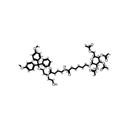 COc1ccc(C(OCCN(CCO)C(=O)CCCNC(=O)CCCCCOC2OC(COC(C)=O)C(OC(C)=O)C(OC(C)=O)C2NC(C)=O)(c2ccccc2)c2ccc(OC)cc2)cc1